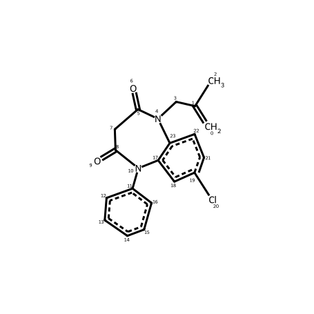 C=C(C)CN1C(=O)CC(=O)N(c2ccccc2)c2cc(Cl)ccc21